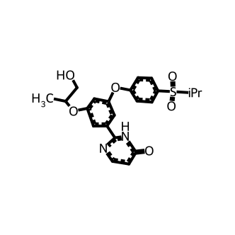 CC(CO)Oc1cc(Oc2ccc(S(=O)(=O)C(C)C)cc2)cc(-c2nccc(=O)[nH]2)c1